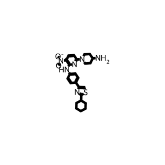 NC1CCN(c2ccc([N+](=O)[O-])c(Nc3ccc(-c4csc(C5CCCCC5)n4)cc3)n2)CC1